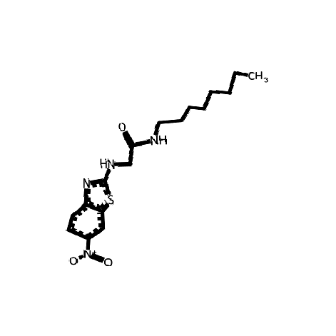 CCCCCCCCNC(=O)CNc1nc2ccc([N+](=O)[O-])cc2s1